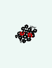 CC(C)c1cc2c3c(c1)N(c1ccccc1)c1ccccc1B3c1cc3c(-c4c(-c5ccccc5)cccc4-c4ccccc4)cc4c5c(cc6c(-c7c(-c8ccccc8)cccc7-c7ccccc7)cc-2c1c6c35)B1c2ccccc2N(c2ccccc2)c2cc(C(C)C)cc-4c21